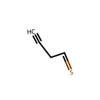 C#CCC=S